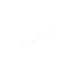 CC(=O)OC1C[C@H]2C3CCc4cc(OCc5ccccc5)ccc4C3CC[C@]2(C)[C@H]1OC(C)=O